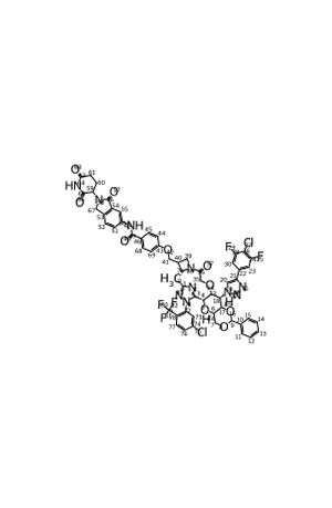 Cc1nc([C@@H]2O[C@@H]3COC(c4ccccc4)O[C@@H]3[C@H](n3cc(-c4cc(F)c(Cl)c(F)c4)nn3)[C@H]2OCC(=O)N2CC(COc3ccc(C(=O)Nc4ccc5c(c4)C(=O)N(C4CCC(=O)NC4=O)C5)cc3)C2)n(-c2cc(Cl)ccc2C(F)(F)F)n1